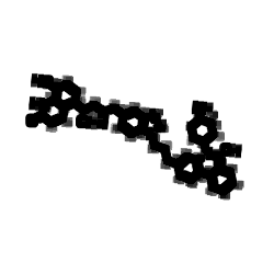 NC1CCC(N(C(=O)O)c2cc(CCCn3nnc4cc(CNC[C@H](O)c5ccc(O)c6[nH]c(=O)ccc56)ccc43)ccc2-c2ccccc2)CC1